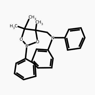 CC1(C)OB(c2ccccc2)OC1(C)CN(c1ccccc1)c1ccccc1